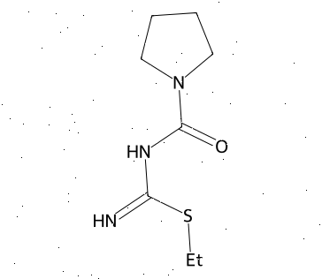 CCSC(=N)NC(=O)N1CCCC1